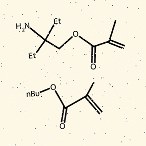 C=C(C)C(=O)OCC(N)(CC)CC.C=C(C)C(=O)OCCCC